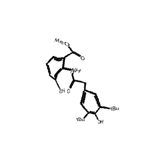 COC(=O)c1cccc(O)c1NC(=O)Cc1cc(C(C)(C)C)c(O)c(C(C)(C)C)c1